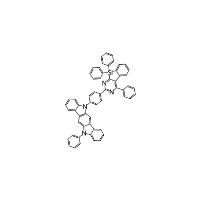 c1ccc(-c2nc(-c3ccc(-n4c5ccccc5c5cc6c(cc54)c4ccccc4n6-c4ccccc4)cc3)nc3c2-c2ccccc2[Si]3(c2ccccc2)c2ccccc2)cc1